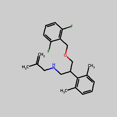 C=C(C)CNCC(COCc1c(F)cccc1F)c1c(C)cccc1C